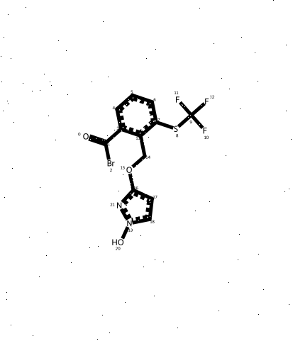 O=C(Br)c1cccc(SC(F)(F)F)c1COc1ccn(O)n1